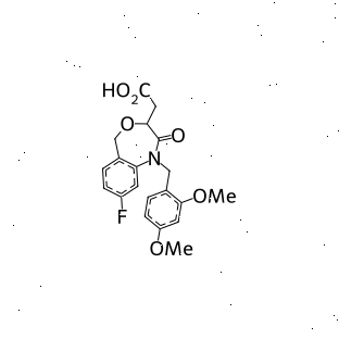 COc1ccc(CN2C(=O)C(CC(=O)O)OCc3ccc(F)cc32)c(OC)c1